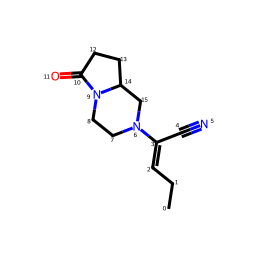 CCC=C(C#N)N1CCN2C(=O)CCC2C1